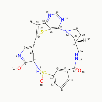 COc1ncc2cc1N[S+]([O-])c1cccc(c1)C(=O)NC[C@H]1CCN(C1)c1ncnc3c(C)c-2sc13